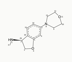 CN[C@@H]1COc2cc(N3CCOCC3)ccc21